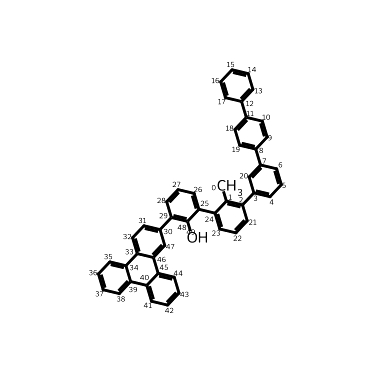 Cc1c(-c2cccc(-c3ccc(-c4ccccc4)cc3)c2)cccc1-c1cccc(-c2ccc3c4ccccc4c4ccccc4c3c2)c1O